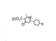 CCOC(=O)c1c(C)n(C)c(-c2ccc(F)cc2)cc1=O